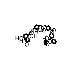 COC(=O)N(Cc1ccc(CNC[C@H](O)c2ccc(O)c3[nH]c(=O)ccc23)cc1)Cc1ccc(C(=O)N2CCC(C(=O)O[C@H]3CN4CCC3CC4)(c3ccccc3)CC2)cc1